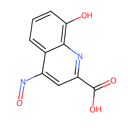 O=Nc1cc(C(=O)O)nc2c(O)cccc12